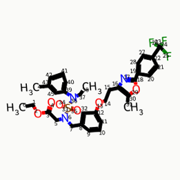 CCOC(=O)CN(Cc1cccc(OCCc2nc(-c3ccc(C(F)(F)F)cc3)oc2C)c1)S(=O)(=O)N(CC)c1cccc(C)c1